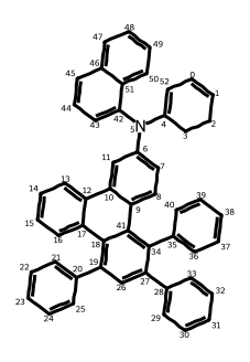 C1=CCCC(N(c2ccc3c(c2)c2ccccc2c2c(-c4ccccc4)cc(-c4ccccc4)c(-c4ccccc4)c32)c2cccc3ccccc23)=C1